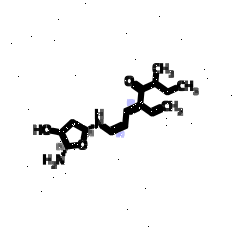 C=C/C(=C\C=C/N[C@H]1CC(O)[C@@H](N)O1)C(=O)C(C)CC